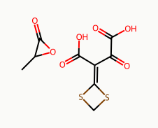 CC1OC1=O.O=C(O)C(=O)C(C(=O)O)=C1SCS1